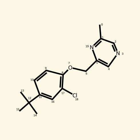 Cc1cncc(COc2ccc(C(C)(C)C)cc2Cl)n1